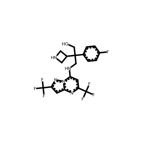 OCC(CNc1cc(C(F)(F)F)nc2cc(C(F)(F)F)nn12)(c1ccc(F)cc1)C1CNC1